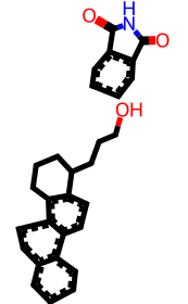 O=C1NC(=O)c2ccccc21.OCCCC1CCCc2c1ccc1c2ccc2ccccc21